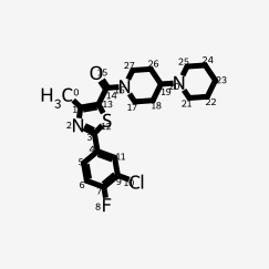 Cc1nc(-c2ccc(F)c(Cl)c2)sc1C(=O)N1CCC(N2CCCCC2)CC1